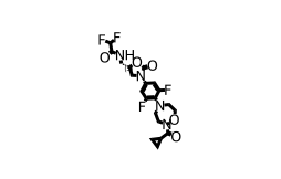 O=C(NC[C@H]1CN(c2cc(F)c(N3CCON(C(=O)C4CC4)CC3)c(F)c2)C(=O)O1)C(F)F